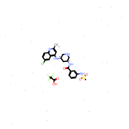 CS(=O)(=O)Nc1cccc(C(=O)N[C@@H]2CNC[C@H](Nc3cc(C(F)(F)F)nc4ccc(Cl)cc34)C2)c1.O=C(O)C(F)(F)F